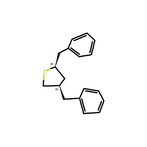 c1ccc(C[C@H]2CS[C@@H](Cc3ccccc3)C2)cc1